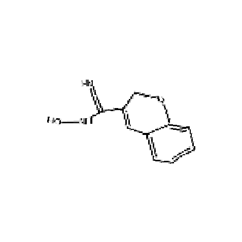 N=C(NO)C1=Cc2ccccc2OC1